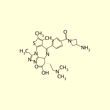 Cc1sc2c(c1C)C(c1ccc(C(=O)N3CC(N)C3)cc1)=NC([C@H](CCN(C)C)C(=O)O)c1nnc(C)n1-2